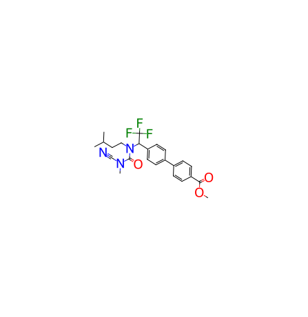 COC(=O)c1ccc(-c2ccc(C(N(CCC(C)C)C(=O)N(C)C#N)C(F)(F)F)cc2)cc1